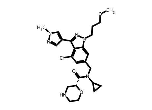 COCCCn1nc(-c2cnn(C)c2)c2c(Cl)cc(CN(C(=O)[C@H]3CNCCO3)C3CC3)cc21